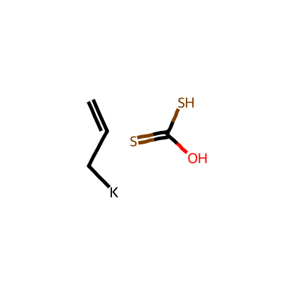 C=C[CH2][K].OC(=S)S